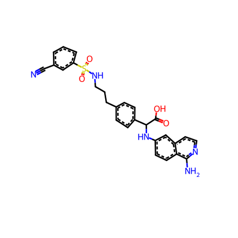 N#Cc1cccc(S(=O)(=O)NCCCc2ccc(C(Nc3ccc4c(N)nccc4c3)C(=O)O)cc2)c1